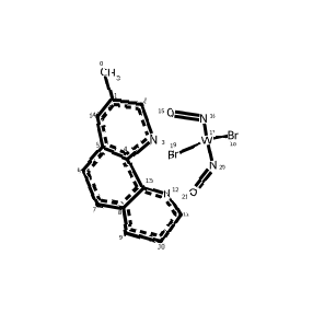 Cc1cnc2c(ccc3cccnc32)c1.O=[N][W]([Br])([Br])[N]=O